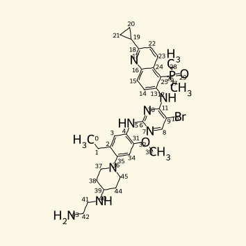 CCc1cc(Nc2ncc(Br)c(Nc3ccc4nc(C5CC5)ccc4c3P(C)(C)=O)n2)c(OC)cc1N1CCC(NCCN)CC1